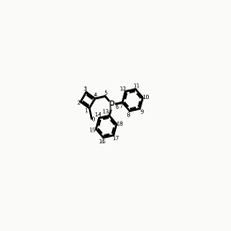 CC1=CC=C1CP(c1ccccc1)c1ccccc1